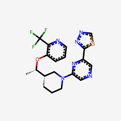 C[C@H](Oc1cccnc1C(F)(F)F)[C@H]1CCCN(c2cncc(-c3nncs3)n2)C1